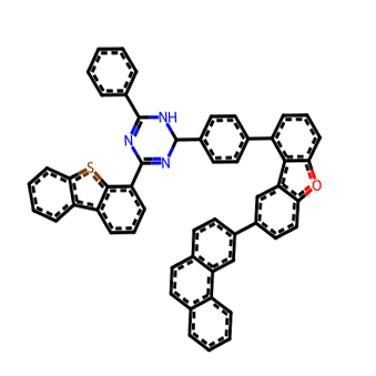 c1ccc(C2=NC(c3cccc4c3sc3ccccc34)=NC(c3ccc(-c4cccc5oc6ccc(-c7ccc8ccc9ccccc9c8c7)cc6c45)cc3)N2)cc1